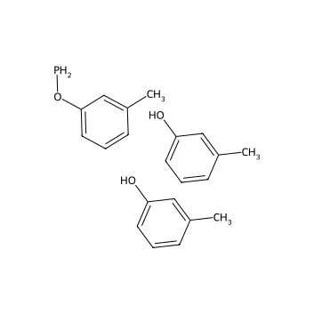 Cc1cccc(O)c1.Cc1cccc(O)c1.Cc1cccc(OP)c1